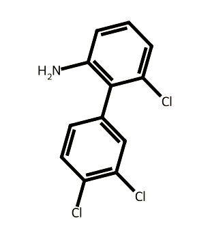 Nc1cccc(Cl)c1-c1ccc(Cl)c(Cl)c1